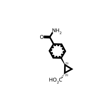 NC(=O)c1ccc([C@H]2C[C@@H]2C(=O)O)cc1